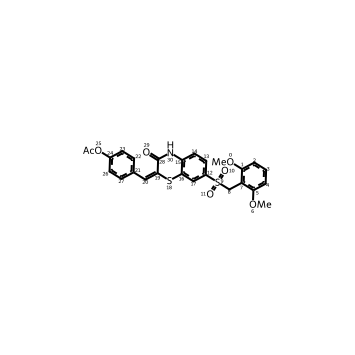 COc1cccc(OC)c1CS(=O)(=O)c1ccc2c(c1)S/C(=C/c1ccc(OC(C)=O)cc1)C(=O)N2